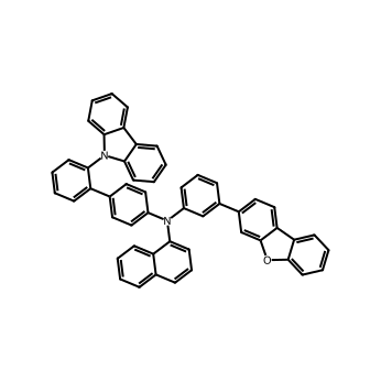 c1cc(-c2ccc3c(c2)oc2ccccc23)cc(N(c2ccc(-c3ccccc3-n3c4ccccc4c4ccccc43)cc2)c2cccc3ccccc23)c1